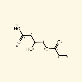 CCC(=O)OCC(O)CC(=O)O